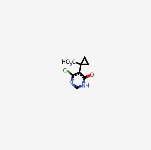 O=C(O)C1(c2c(Cl)nc[nH]c2=O)CC1